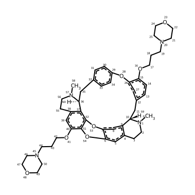 CN1CCc2cc3c4cc2[C@@H]1Cc1ccc(OCCCN2CCOCC2)c(c1)Oc1ccc(cc1)C[C@H]1c2c(cc(OCCCN5CCOCC5)c(c2O4)O3)CCN1C